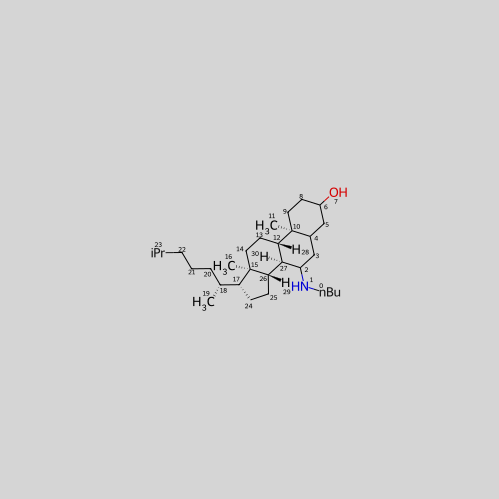 CCCCNC1CC2CC(O)CC[C@]2(C)[C@H]2CC[C@]3(C)[C@@H]([C@H](C)CCCC(C)C)CC[C@H]3[C@H]12